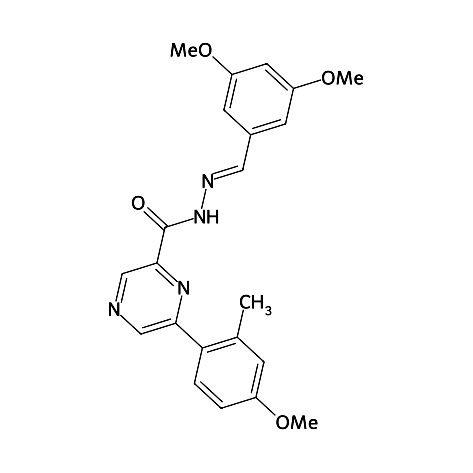 COc1cc(/C=N/NC(=O)c2cncc(-c3ccc(OC)cc3C)n2)cc(OC)c1